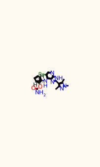 Cc1nn(C)c(C)c1-c1nc2c(N[C@H]3[C@@H](OC(N)=O)[C@@H]4C=C[C@H]3C4)c(Br)cnc2[nH]1